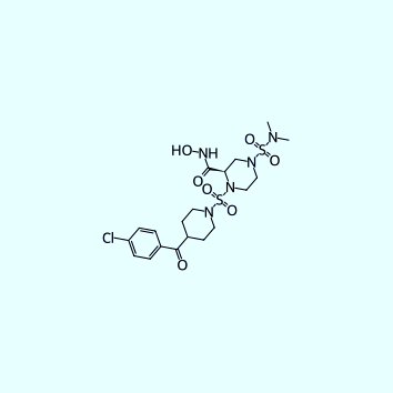 CN(C)S(=O)(=O)N1CCN(S(=O)(=O)N2CCC(C(=O)c3ccc(Cl)cc3)CC2)[C@@H](C(=O)NO)C1